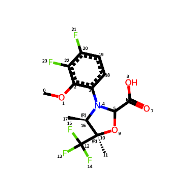 COc1c(N2C(C(=O)O)O[C@@](C)(C(F)(F)F)[C@H]2C)ccc(F)c1F